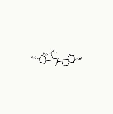 CC1CCN(C[C@@H](NC(=O)[C@@H]2CCc3cc(O)ccc3C2)C(C)C)CC1